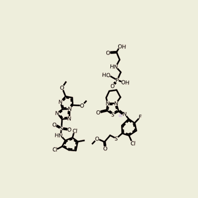 COC(=O)CSc1cc(/N=c2\sc(=O)n3n2CCCC3)c(F)cc1Cl.COc1cc(OC)n2nc(S(=O)(=O)Nc3c(Cl)ccc(C)c3Cl)nc2n1.O=C(O)CNCP(=O)(O)O